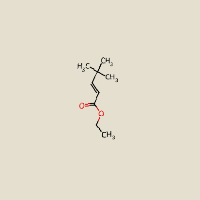 CCOC(=O)C=CC(C)(C)C